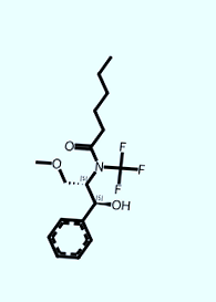 CCCCCC(=O)N([C@@H](COC)[C@@H](O)c1ccccc1)C(F)(F)F